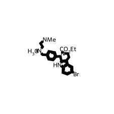 CCOC(=O)N1CCc2c([nH]c3ccc(Br)cc23)C1c1ccc(CN(C)CCNC)cc1